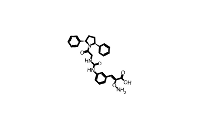 NOC(=Cc1cccc(NC(=O)NCC(=O)N2[C@@H](c3ccccc3)CC[C@H]2c2ccccc2)c1)C(=O)O